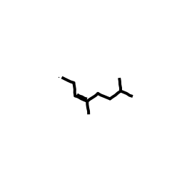 [CH2]CC=C(C)CCC(C)C